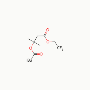 CCC(C)C(=O)OC(C)(C)CC(=O)OCC(F)(F)F